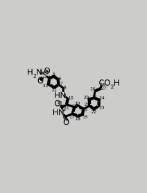 NS(=O)(=O)c1ccc(CNC=C2C(=O)NC(=O)c3ccc(-c4cccc(C=CC(=O)O)c4)cc32)cc1